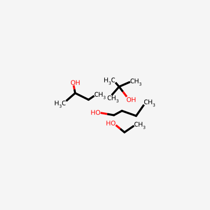 CC(C)(C)O.CCC(C)O.CCCCO.CCO